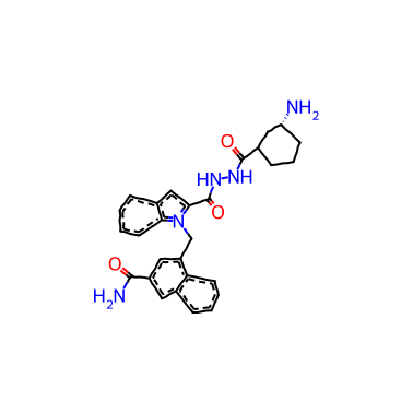 NC(=O)c1cc(Cn2c(C(=O)NNC(=O)C3CCC[C@@H](N)C3)cc3ccccc32)c2ccccc2c1